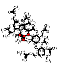 CO[C@@H]1O[C@H](COC(C)=O)[C@@H](O[C@H]2O[C@H](COC(C)=O)[C@@H](OC3O[C@H](C)[C@](NC(C)=O)([C@H]4C=C(COC(C)=O)[C@@H](OC(C)=O)[C@H](OC(C)=O)[C@H]4OC(C)=O)[C@H](OC(C)=O)[C@H]3OC(C)=O)[C@H](OC(C)=O)[C@H]2OC(C)=O)[C@H](OC(C)=O)[C@H]1OC(C)=O